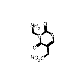 NCN1C(=O)[N]C=C(CC(=O)O)C1=O